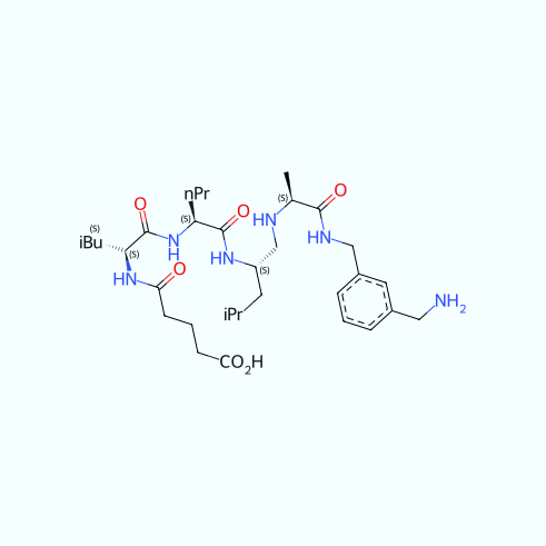 CCC[C@H](NC(=O)[C@@H](NC(=O)CCCC(=O)O)[C@@H](C)CC)C(=O)N[C@H](CN[C@@H](C)C(=O)NCc1cccc(CN)c1)CC(C)C